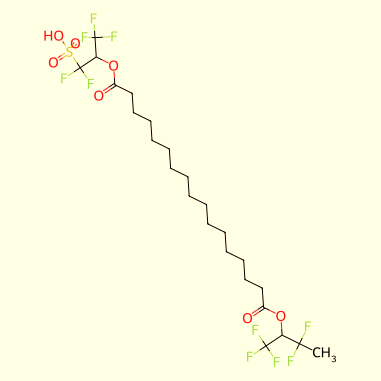 CC(F)(F)C(OC(=O)CCCCCCCCCCCCCCCC(=O)OC(C(F)(F)F)C(F)(F)S(=O)(=O)O)C(F)(F)F